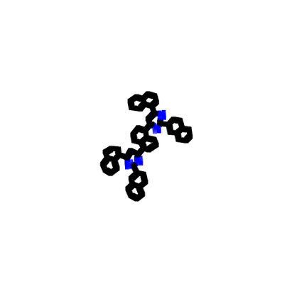 c1ccc2cc(-c3nc(-c4cccc5ccccc45)cc(-c4cccc5c(-c6cc(-c7cccc8ccccc78)nc(-c7ccc8ccccc8c7)n6)cccc45)n3)ccc2c1